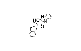 O=C(c1nc2ccccc2nc1O)N1CCCC1Cc1ccccc1F